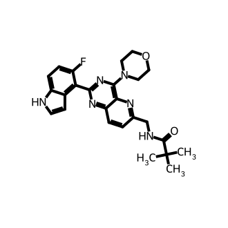 CC(C)(C)C(=O)NCc1ccc2nc(-c3c(F)ccc4[nH]ccc34)nc(N3CCOCC3)c2n1